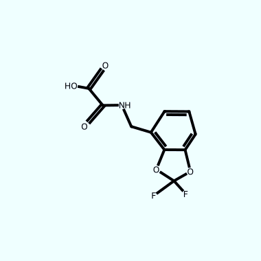 O=C(O)C(=O)NCc1cccc2c1OC(F)(F)O2